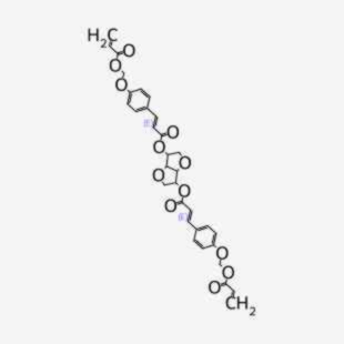 C=CC(=O)OCOc1ccc(/C=C/C(=O)OC2COC3C(OC(=O)/C=C/c4ccc(OCOC(=O)C=C)cc4)COC23)cc1